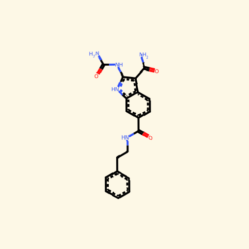 NC(=O)Nc1[nH]c2cc(C(=O)NCCc3ccccc3)ccc2c1C(N)=O